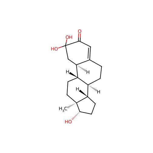 C[C@]12CC[C@H]3[C@@H](CCC4=CC(=O)C(O)(O)C[C@@H]43)[C@@H]1CC[C@@H]2O